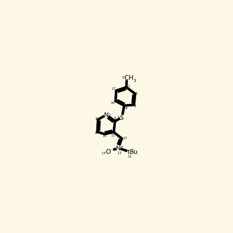 Cc1ccc(Sc2ncccc2C=[N+]([O-])C(C)(C)C)cc1